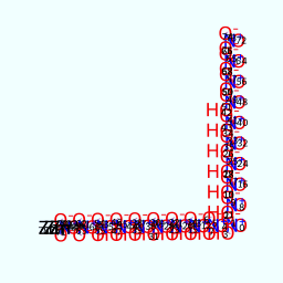 O=[N+]([O-])O.O=[N+]([O-])O.O=[N+]([O-])O.O=[N+]([O-])O.O=[N+]([O-])O.O=[N+]([O-])O.O=[N+]([O-])O.O=[N+]([O-])O.O=[N+]([O-])O.O=[N+]([O-])O.O=[N+]([O-])O.O=[N+]([O-])O.O=[N+]([O-])O.O=[N+]([O-])[O-].O=[N+]([O-])[O-].O=[N+]([O-])[O-].O=[N+]([O-])[O-].O=[N+]([O-])[O-].O=[N+]([O-])[O-].[Zn+2].[Zn+2].[Zn+2]